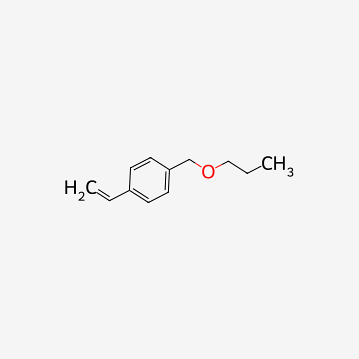 C=Cc1ccc(COCCC)cc1